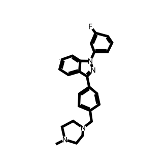 CN1CCN(Cc2ccc(-c3nn(-c4cccc(F)c4)c4c[c]ccc34)cc2)CC1